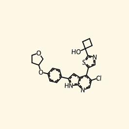 OC1(c2ncc(-c3c(Cl)cnc4[nH]c(-c5ccc(OC6CCOC6)cc5)cc34)s2)CCC1